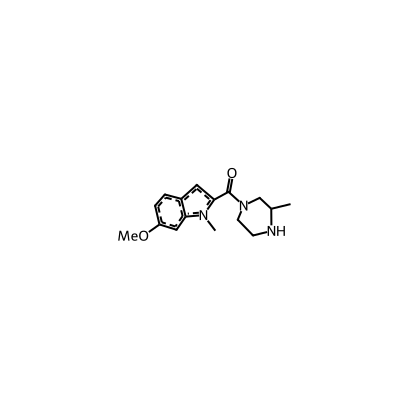 COc1ccc2cc(C(=O)N3CCNC(C)C3)n(C)c2c1